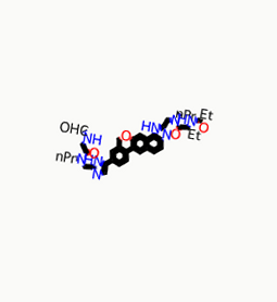 CCCN(Cc1ncc(-c2ccc3c(c2)COc2cc4c(ccc5nc(CN(CCC)C(=O)[C@H](CC)NC(=O)CC)[nH]c54)cc2-3)[nH]1)C(=O)CNC=O